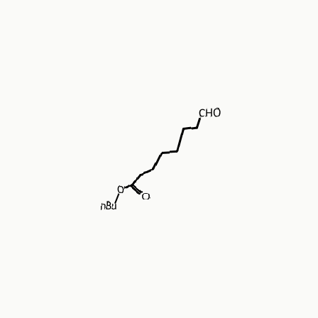 CCCCOC(=O)CCCCCCC=O